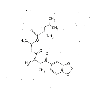 CC(C)CC(N)C(=O)OC(C)OC(=O)N(C)C(C)C(=O)c1ccc2c(c1)OCO2